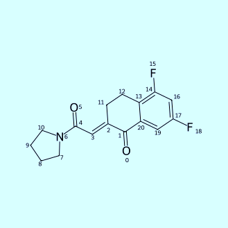 O=C1C(=CC(=O)N2CCCC2)CCc2c(F)cc(F)cc21